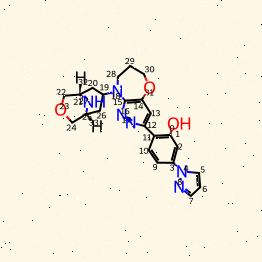 Oc1cc(-n2cccn2)ccc1-c1cc2c(nn1)N(C1C[C@H]3COC[C@@H](C1)N3)CCCO2